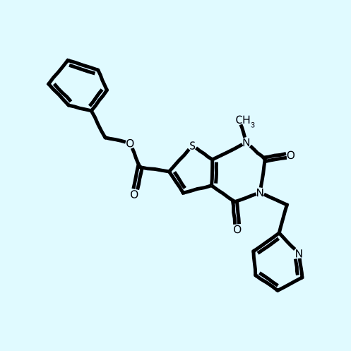 Cn1c(=O)n(Cc2ccccn2)c(=O)c2cc(C(=O)OCc3ccccc3)sc21